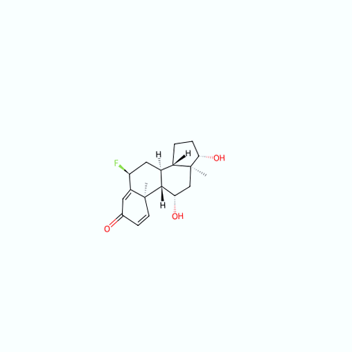 C[C@]12C[C@H](O)[C@H]3[C@@H](C[C@H](F)C4=CC(=O)C=C[C@@]43C)[C@@H]1CC[C@@H]2O